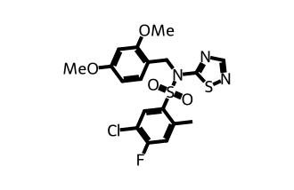 COc1ccc(CN(c2ncns2)S(=O)(=O)c2cc(Cl)c(F)cc2C)c(OC)c1